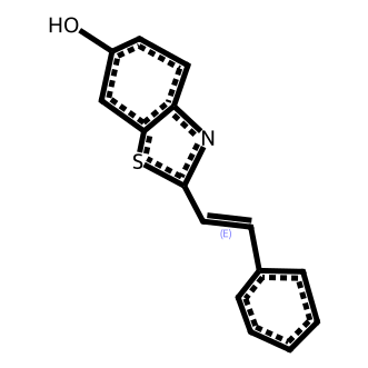 Oc1ccc2nc(/C=C/c3ccccc3)sc2c1